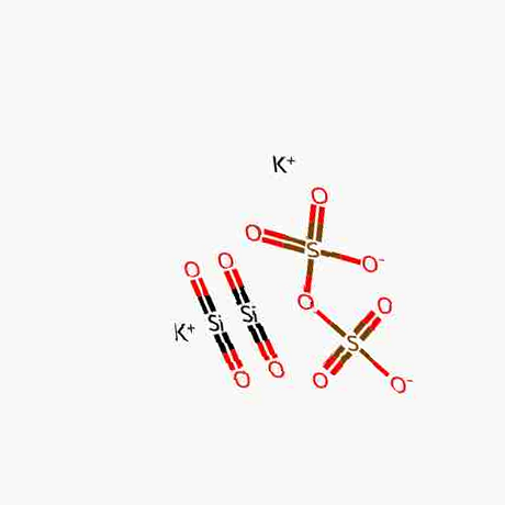 O=S(=O)([O-])OS(=O)(=O)[O-].O=[Si]=O.O=[Si]=O.[K+].[K+]